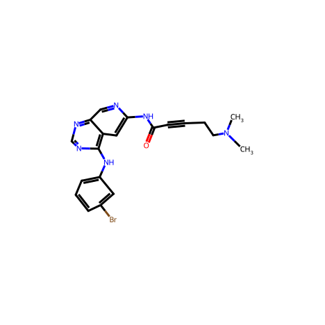 CN(C)CCC#CC(=O)Nc1cc2c(Nc3cccc(Br)c3)ncnc2cn1